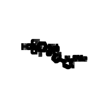 CSc1nccc(-c2ccc(S(=O)(=O)Nc3ccc(C(O)(C(F)(F)F)C(F)(F)F)cc3)s2)n1